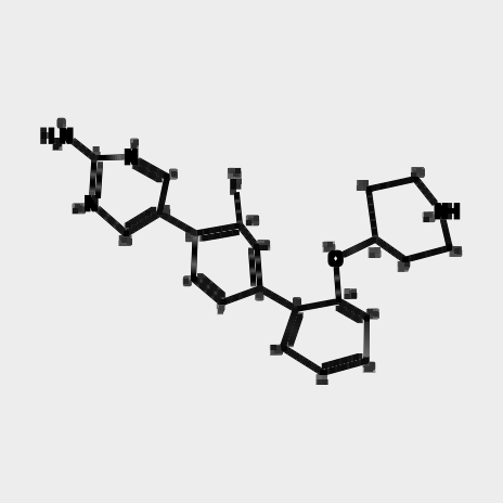 Nc1ncc(-c2ccc(-c3ccccc3OC3CCNCC3)cc2F)cn1